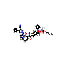 CCCOC(=O)[C@H](C)NP(=O)(Oc1ccccc1)C(F)c1ccc2sc(C(=O)N[C@H]3CCCC[C@H]4CC[C@@H](C(=O)N5C[C@H](c6ccccc6)[C@@H](C#N)C5)N4C3=O)cc2c1